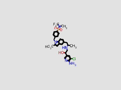 CC(Cc1ccc2c(c1)cc(C(=O)O)n2Cc1ccc(S(=O)(=O)N(C)C(F)(F)F)cc1)NCC(O)c1cnc(N)c(Cl)c1